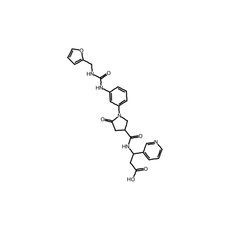 O=C(O)CC(NC(=O)C1CC(=O)N(c2cccc(NC(=O)NCc3ccco3)c2)C1)c1cccnc1